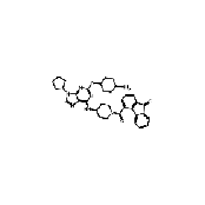 NC1CCC(Nc2nc(NC3CCN(C(=O)c4cccc5c4-c4ccccc4C5=O)CC3)c3ncn(C4CCCC4)c3n2)CC1